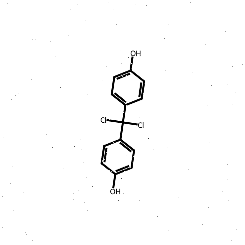 Oc1ccc(C(Cl)(Cl)c2ccc(O)cc2)cc1